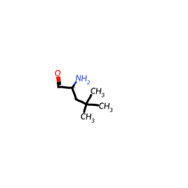 CC(C)(C)C[C](N)C=O